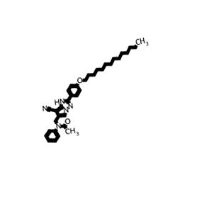 CCCCCCCCCCCCCCOc1ccc(-c2nn3cc(CN(C(C)=O)c4ccccc4)c(C#N)c3[nH]2)cc1